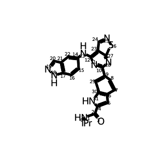 CC(C)NC(=O)c1cc2ccc(-c3nc(Nc4ccc5[nH]ncc5c4)c4cnsc4n3)cc2[nH]1